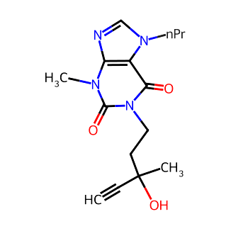 C#CC(C)(O)CCn1c(=O)c2c(ncn2CCC)n(C)c1=O